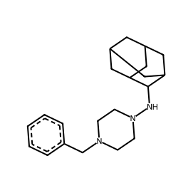 c1ccc(CN2CCN(NC3C4CC5CC(C4)CC3C5)CC2)cc1